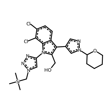 C[Si](C)(C)Cn1cc(-n2c(CO)c(-c3cnn(C4CCCCO4)c3)c3ccc(Cl)c(Cl)c32)nn1